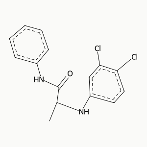 CC(Nc1ccc(Cl)c(Cl)c1)C(=O)Nc1ccccc1